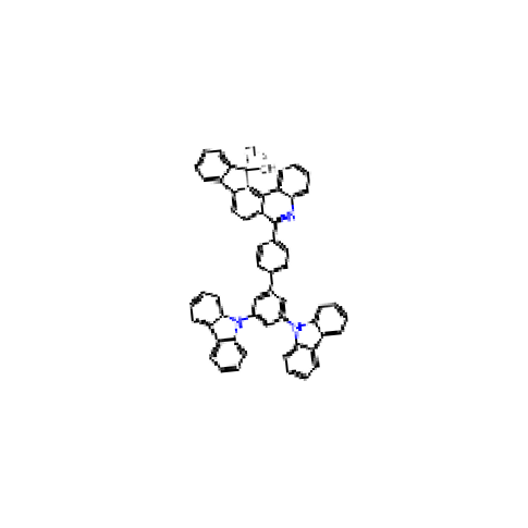 CC1(C)c2ccccc2-c2ccc3c(-c4ccc(-c5cc(-n6c7ccccc7c7ccccc76)cc(-n6c7ccccc7c7ccccc76)c5)cc4)nc4ccccc4c3c21